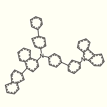 c1ccc(-c2ccc(N(c3ccc(-c4cccc(-n5c6ccccc6c6ccccc65)c4)cc3)c3ccc(-c4ccc5ccccc5c4)c4ccccc34)cc2)cc1